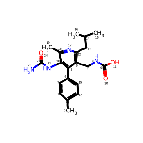 Cc1ccc(-c2c(CNC(=O)O)c(CC(C)C)nc(C)c2NC(N)=O)cc1